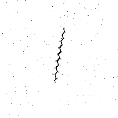 [CH2]CCCCC=CC=CC=CC=CCCCC